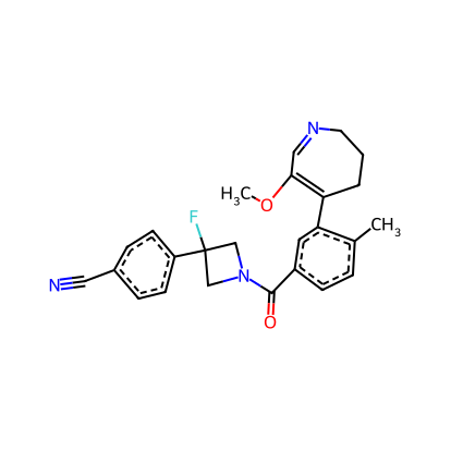 COC1=C(c2cc(C(=O)N3CC(F)(c4ccc(C#N)cc4)C3)ccc2C)CCCN=C1